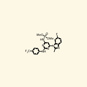 COP(=O)(Nc1cc(-n2c(C)nc3ccc(F)cc32)nc(Nc2ccc(C(F)(F)F)cc2)n1)OC